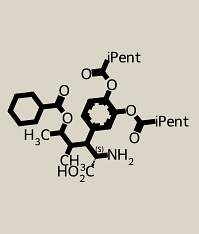 CCCC(C)C(=O)Oc1ccc(C(C(C)C(C)OC(=O)C2CCCCC2)[C@H](N)C(=O)O)cc1OC(=O)C(C)CCC